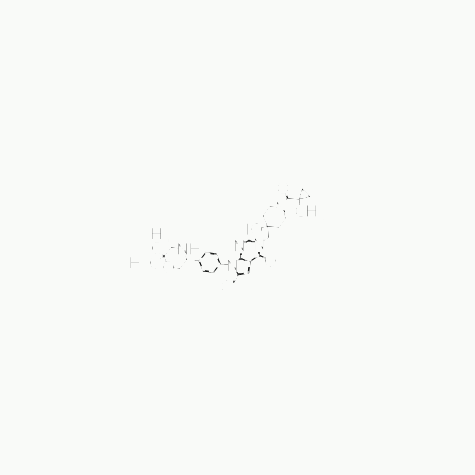 CC1(C)CN[C@@H](c2ccc(-n3c(Cl)cc4c(=O)n(CC5(O)CCN(C(=O)C6(C)CC6)CC5)cnc43)cc2)CO1